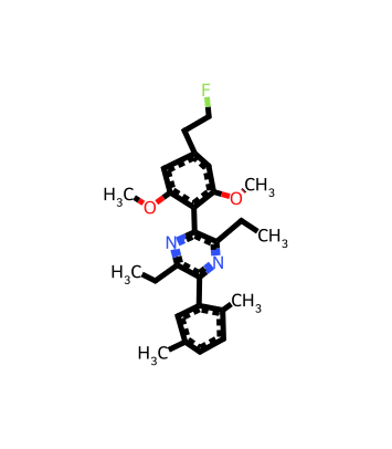 CCc1nc(-c2c(OC)cc(CCF)cc2OC)c(CC)nc1-c1cc(C)ccc1C